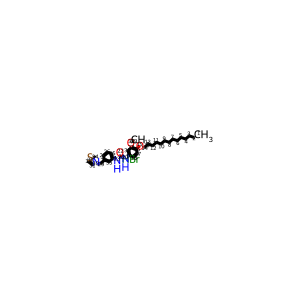 Br.CCCCCCCCCCCCCCOc1ccc(NC(=O)Nc2cccc(CN3C=CSC3)c2)cc1OC